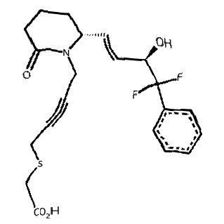 O=C(O)CSCC#CCN1C(=O)CCC[C@@H]1/C=C/[C@@H](O)C(F)(F)c1ccccc1